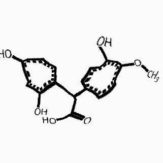 COc1ccc(C(C(=O)O)c2ccc(O)cc2O)cc1O